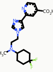 CN(CCn1cnc(-c2cc(C(=O)O)ccn2)c1)C1CCC(F)(F)CC1